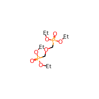 CCOP(=O)(COCP(=O)(OCC)OCC)OCC